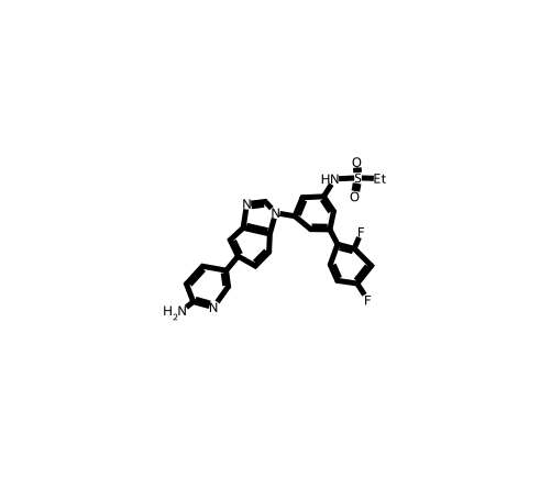 CCS(=O)(=O)Nc1cc(-c2ccc(F)cc2F)cc(-n2cnc3cc(-c4ccc(N)nc4)ccc32)c1